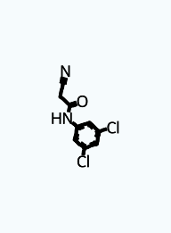 N#CCC(=O)Nc1cc(Cl)cc(Cl)c1